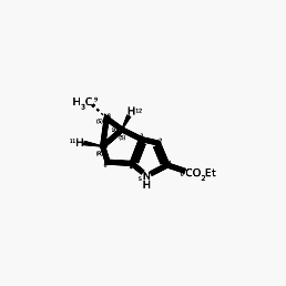 CCOC(=O)c1cc2c([nH]1)C[C@@H]1[C@H](C)[C@H]21